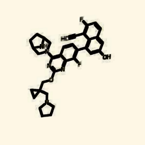 C#Cc1c(F)ccc2cc(O)cc(-c3ccc4c(N5CC6CCC(C5)N6)nc(OCC5(CN6CCCC6)CC5)nc4c3F)c12